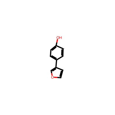 Oc1[c]cc(-c2ccoc2)cc1